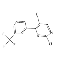 Fc1cnc(Cl)nc1-c1cccc(C(F)(F)F)c1